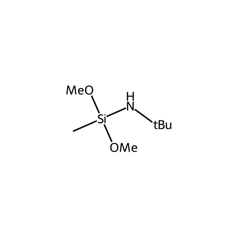 CO[Si](C)(NC(C)(C)C)OC